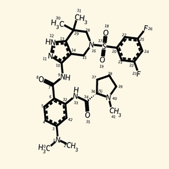 CN(C)c1ccc(C(=O)Nc2n[nH]c3c2CN(S(=O)(=O)c2cc(F)cc(F)c2)CC3(C)C)c(NC(=O)[C@@H]2CCCN2C)c1